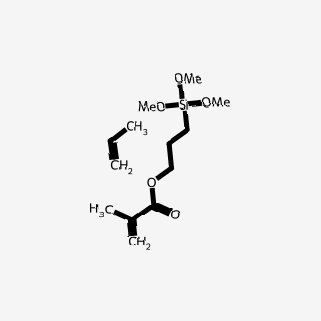 C=C(C)C(=O)OCCC[Si](OC)(OC)OC.C=CC